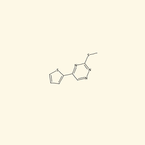 CSc1nncc(-c2cccs2)n1